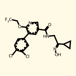 O=C(NCC(=NO)C1CC1)c1cnc(OCC(F)(F)F)c(-c2ccc(Cl)c(Cl)c2)c1